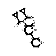 O=C(C1CC1)N(C(=O)C1CC1)c1ccc(-c2cccnc2)oc1=O